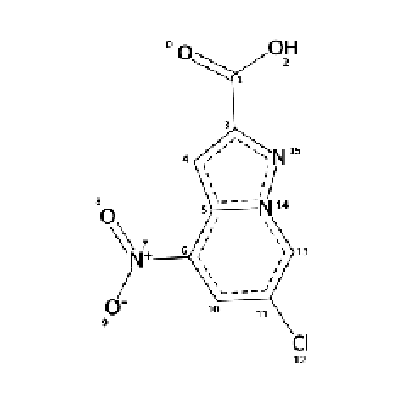 O=C(O)c1cc2c([N+](=O)[O-])cc(Cl)cn2n1